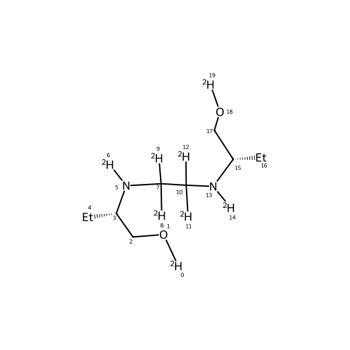 [2H]OC[C@H](CC)N([2H])C([2H])([2H])C([2H])([2H])N([2H])[C@@H](CC)CO[2H]